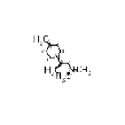 C=C1CCN(C(=C)CN(C)C)CC1